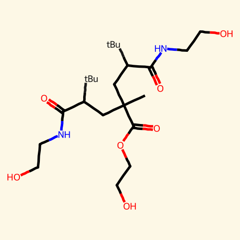 CC(CC(C(=O)NCCO)C(C)(C)C)(CC(C(=O)NCCO)C(C)(C)C)C(=O)OCCO